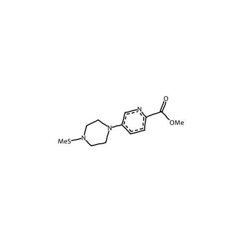 COC(=O)c1ccc(N2CCN(SC)CC2)cn1